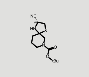 CC(C)(C)OC(=O)N1CCCC2(C1)N[C@H](C#N)CS2